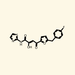 O=C(Nc1nccs1)C(O)=CC(=O)c1ccc(Cc2ccc(F)cc2)o1